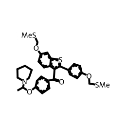 CSCOc1ccc(-c2sc3cc(OCSC)ccc3c2C(=O)c2ccc(OC(C)N3CCCCC3)cc2)cc1